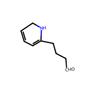 O=CCCCC1=CC=CCN1